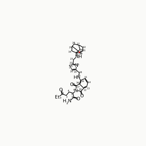 CCC(=O)CCC(C(N)=O)N1C(=O)c2cccc(NCc3csc(CNC45CC6CC(CC(C6)C4)C5)n3)c2C1=O